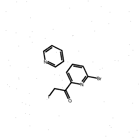 O=C(CI)c1cccc(Br)n1.c1ccncc1